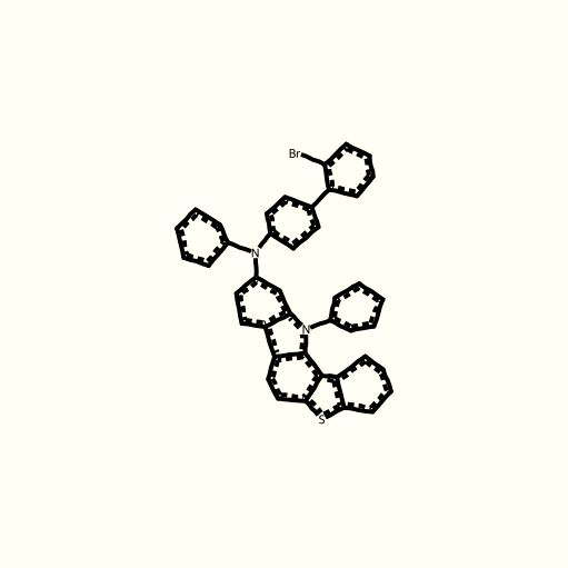 Brc1ccccc1-c1ccc(N(c2ccccc2)c2ccc3c4ccc5sc6ccccc6c5c4n(-c4ccccc4)c3c2)cc1